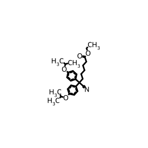 CCOC(=O)CCCCCC(C#N)(c1ccc(OC(C)C)cc1)c1ccc(OC(C)C)cc1